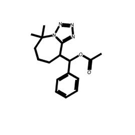 CC(=O)OC(c1ccccc1)C1CCCC(C)(C)n2nnnc21